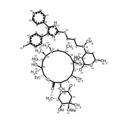 CC[C@H]1OC(=O)[C@H](C)[C@@H](O[C@H]2C[C@@](C)(OC)[C@@H](O)[C@H](C)O2)[C@H](C)[C@@H](O[C@@H]2O[C@H](C)CC(N(C)CCCSc3nc(-c4ccc(F)cc4)c(-c4ccncc4)[nH]3)[C@H]2O)[C@](C)(O)C[C@@H](C)CN(C)[C@H](C)[C@@H](O)[C@]1(C)O